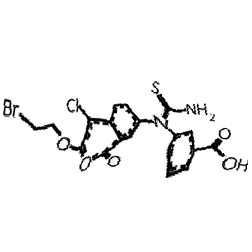 NC(=S)N(c1cccc(C(=O)O)c1)c1ccc2c(Cl)c(OCCBr)oc(=O)c2c1